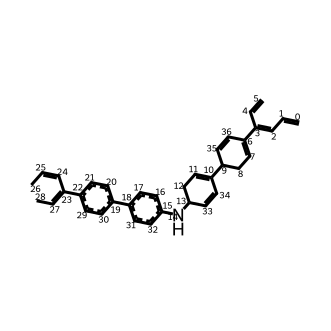 C=C/C=C(\C=C)C1=CCC(C2=CCC(Nc3ccc(-c4ccc(C(/C=C\C)=C/C)cc4)cc3)C=C2)C=C1